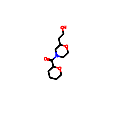 O=C(C1CCCCO1)N1CCOC(CCO)C1